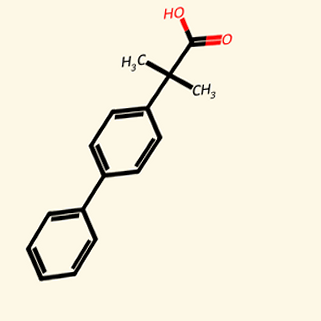 CC(C)(C(=O)O)c1ccc(-c2ccccc2)cc1